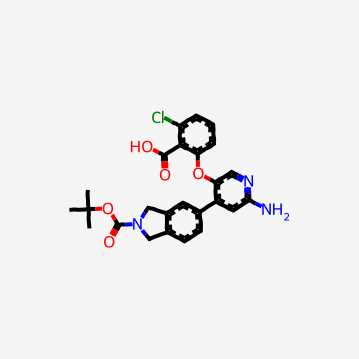 CC(C)(C)OC(=O)N1Cc2ccc(-c3cc(N)ncc3Oc3cccc(Cl)c3C(=O)O)cc2C1